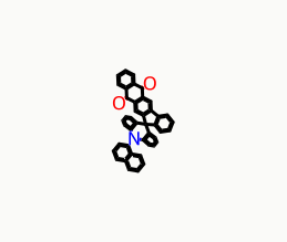 O=C1c2ccccc2C(=O)c2cc3c(cc21)-c1ccccc1C31c2ccccc2N(c2cccc3ccccc23)c2ccccc21